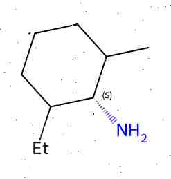 CCC1C[CH]CC(C)[C@@H]1N